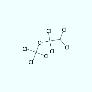 ClC(Cl)C(Cl)(Cl)OC(Cl)(Cl)Cl